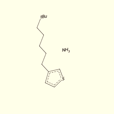 CC(C)(C)CCCCCc1ccsc1.N